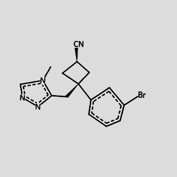 Cn1cnnc1C[C@]1(c2cccc(Br)c2)C[C@H](C#N)C1